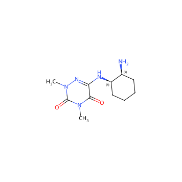 Cn1nc(N[C@@H]2CCCC[C@@H]2N)c(=O)n(C)c1=O